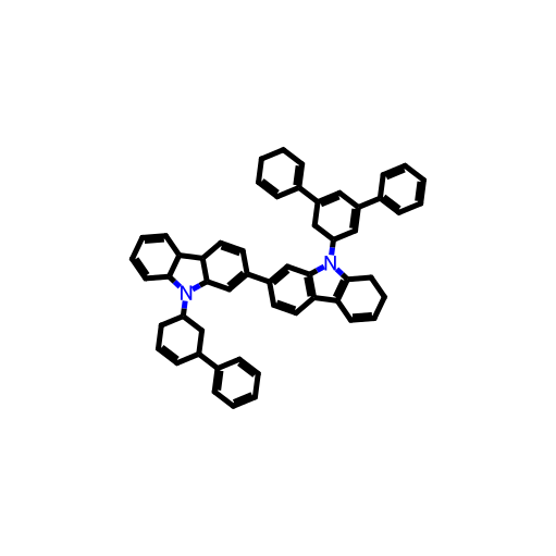 C1=CC2C3C=CC(c4ccc5c6c(n(C7C=C(c8ccccc8)C=C(C8=CCCC=C8)C7)c5c4)CCC=C6)=CC3N(C3CC=CC(c4ccccc4)C3)C2C=C1